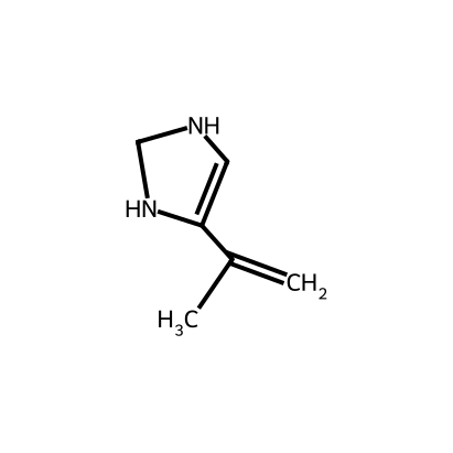 C=C(C)C1=CNCN1